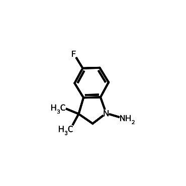 CC1(C)CN(N)c2ccc(F)cc21